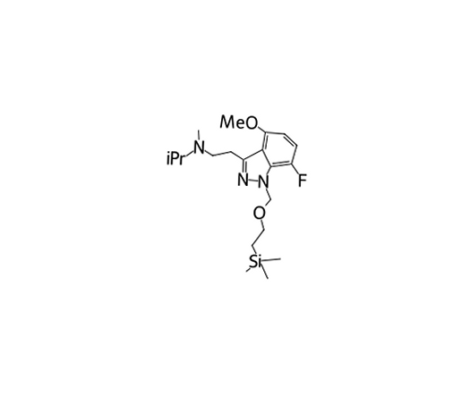 COc1ccc(F)c2c1c(CCN(C)C(C)C)nn2COCC[Si](C)(C)C